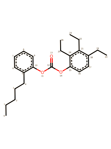 CCCCCc1ccccc1OC(=O)Oc1ccc(CC)c(CC)c1CC